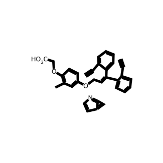 C#Cc1ccccc1C(=CCOc1ccc(OCC(=O)O)c(C)c1)c1ccccc1C#C.c1cc2cc-2n1